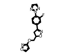 Fc1cc(C2=NOC(COc3ccon3)C2)ccc1-n1nccn1